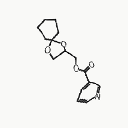 O=C(OCC1COC2(CCCCC2)O1)c1cccnc1